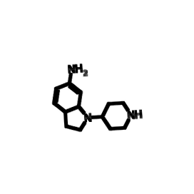 NC1=CC2C(C=C1)CCN2C1CCNCC1